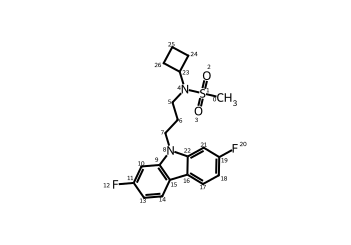 CS(=O)(=O)N(CCCn1c2cc(F)ccc2c2ccc(F)cc21)C1CCC1